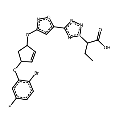 CCC(C(=O)O)n1nnc(-c2cc(OC3C=CC(Oc4cc(F)ccc4Br)C3)no2)n1